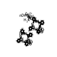 CCCCCCCCCCCC[N+](C)(C)C.O=S(=O)([O-])c1cccc2c3nc4nc(nc5[nH]c(nc6nc(nc([nH]3)c12)-c1ccccc1-6)c1ccccc51)-c1ccccc1-4.O=S(=O)([O-])c1cccc2c3nc4nc(nc5[nH]c(nc6nc(nc([nH]3)c12)-c1ccccc1-6)c1ccccc51)-c1ccccc1-4.[Cu+2]